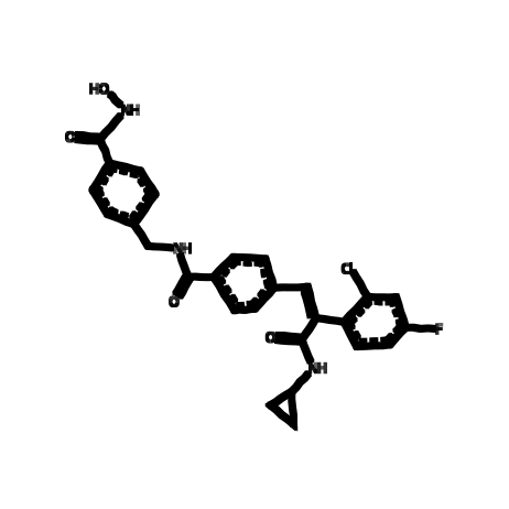 O=C(NC1CC1)C(=Cc1ccc(C(=O)NCc2ccc(C(=O)NO)cc2)cc1)c1ccc(F)cc1Cl